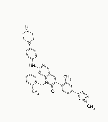 Cc1cc(-c2cnn(C)c2)ccc1-c1cc2cnc(Nc3ccc(N4CCNCC4)cc3)nc2n(Cc2ccccc2C(F)(F)F)c1=O